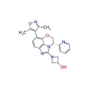 Cc1noc(C)c1-c1ccc2nc(N3CC(O)C3)n3c2c1OC[C@@H]3c1ccccn1